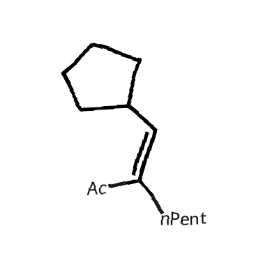 CCCCCC(=CC1CCCC1)C(C)=O